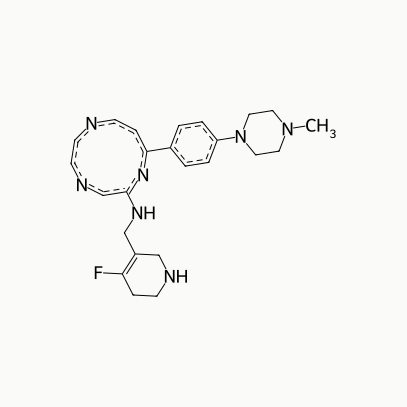 CN1CCN(c2ccc(-c3ccnccncc(NCC4=C(F)CCNC4)n3)cc2)CC1